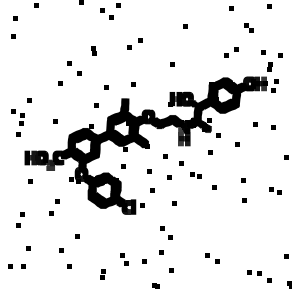 Cc1cc(-c2ccc(C(=O)O)c(Oc3ccc(Cl)cc3)c2)cc(C)c1OCCN[C@H](C)[C@H](O)c1ccc(O)cc1